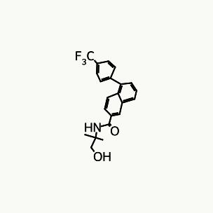 CC(C)(CO)NC(=O)c1ccc2c(-c3ccc(C(F)(F)F)cc3)cccc2c1